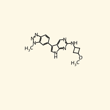 COC1CC(Nc2ncc3c(-c4ccc5nnn(C)c5c4)c[nH]c3n2)C1